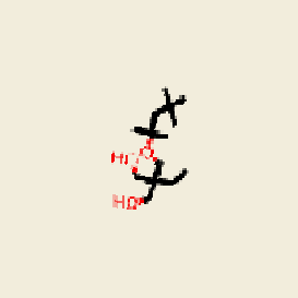 CCC(CO)(CO)COC(C)(C)CC(C)(C)C